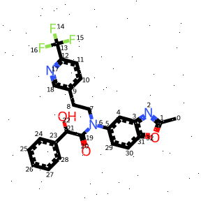 Cc1nc2cc(N(CCc3ccc(C(F)(F)F)nc3)C(=O)C(O)c3ccccc3)ccc2o1